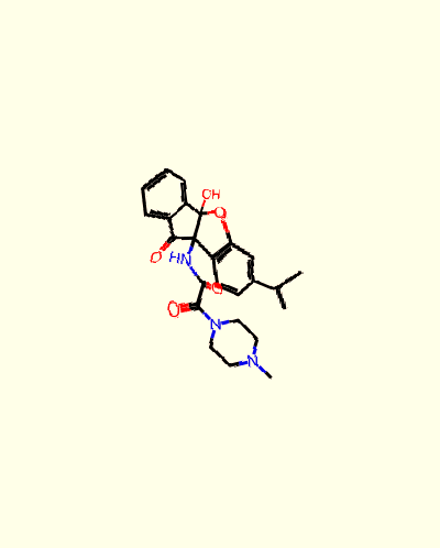 CC(C)c1ccc2c(c1)OC1(O)c3ccccc3C(=O)C21NC(=O)C(=O)N1CCN(C)CC1